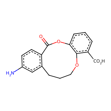 Nc1ccc2c(c1)CCCOc1c(cccc1C(=O)O)OC2=O